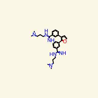 CN(C)CCCNC(=N)c1cccc(-c2ccoc2-c2cccc(C(=N)NCCCN(C)C)c2)c1